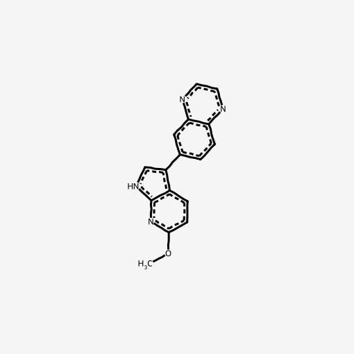 COc1ccc2c(-c3ccc4nccnc4c3)c[nH]c2n1